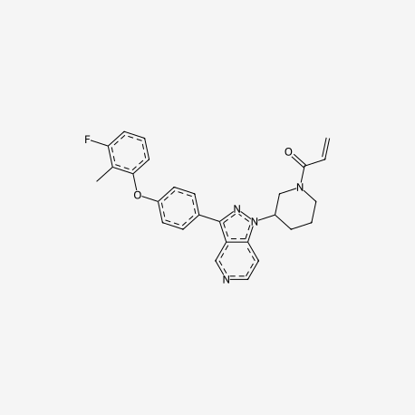 C=CC(=O)N1CCCC(n2nc(-c3ccc(Oc4cccc(F)c4C)cc3)c3cnccc32)C1